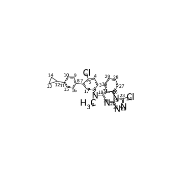 CN(c1ccc(Cl)c(-c2ccc(C3CC3)cc2)c1)c1nc2nnc(Cl)n2c2ccccc12